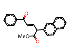 COC(=O)C(/C=C/C(=O)c1ccccc1)c1ccc2ccccc2c1